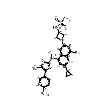 Cc1ccc(-c2nc(N(C)c3cc(C4CC4)nc4c(F)cc(N5CC(NS(C)(=O)=O)C5)cc34)sc2C#N)cn1